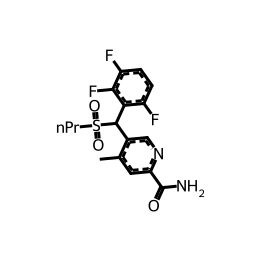 CCCS(=O)(=O)C(c1cnc(C(N)=O)cc1C)c1c(F)ccc(F)c1F